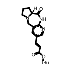 CC(C)(C)OC(=O)/C=C/c1cnc2c(c1)CN1CCC[C@@H]1C(=O)N2